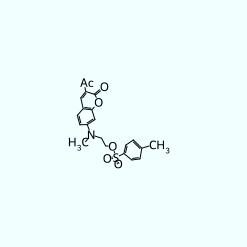 CC(=O)c1cc2ccc(N(C)CCOS(=O)(=O)c3ccc(C)cc3)cc2oc1=O